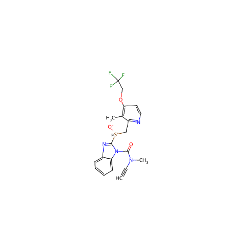 C#CN(C)C(=O)n1c([S@+]([O-])Cc2nccc(OCC(F)(F)F)c2C)nc2ccccc21